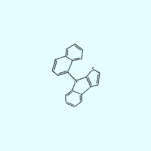 c1ccc2c(-n3c4ccccc4c4ccsc43)cccc2c1